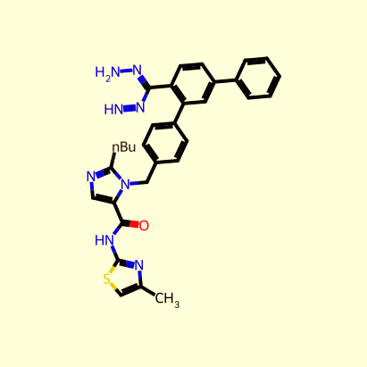 CCCCc1ncc(C(=O)Nc2nc(C)cs2)n1Cc1ccc(-c2cc(-c3ccccc3)ccc2/C(N=N)=N/N)cc1